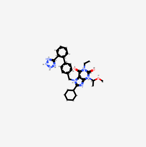 CCn1c(=O)c2c(nc(C3CCCCC3)n2Cc2ccc(-c3ccccc3-c3nnn[nH]3)cc2)n(C(C)OC)c1=O